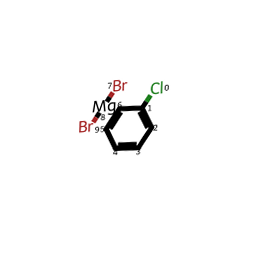 Clc1ccccc1.[Br][Mg][Br]